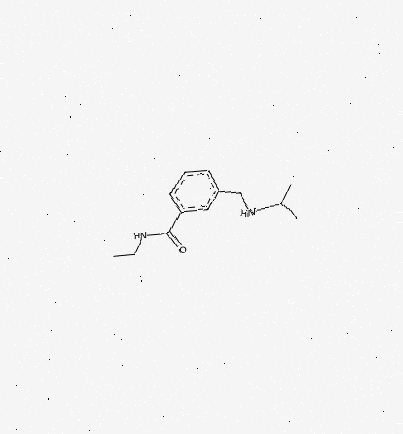 CCNC(=O)c1cccc(CNC(C)C)c1